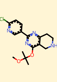 COC(C)(C)Oc1nc(-c2ccc(Cl)nc2)nc2c1CNCC2